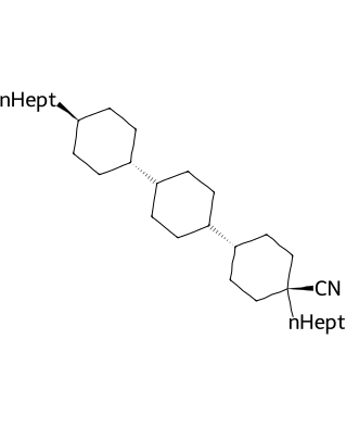 CCCCCCC[C@H]1CC[C@H](C2CCC([C@H]3CC[C@@](C#N)(CCCCCCC)CC3)CC2)CC1